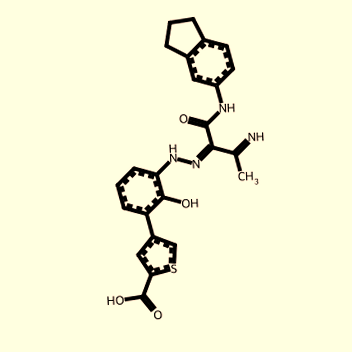 CC(=N)/C(=N/Nc1cccc(-c2csc(C(=O)O)c2)c1O)C(=O)Nc1ccc2c(c1)CCC2